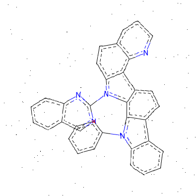 c1ccc(-n2c3ccccc3c3ccc4c5c6ncccc6ccc5n(-c5ncc6ccccc6n5)c4c32)cc1